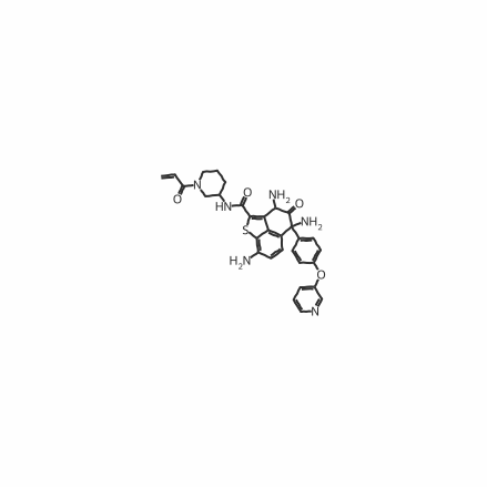 C=CC(=O)N1CCCC(NC(=O)c2sc3c(N)ccc4c3c2C(N)C(=O)C4(N)c2ccc(Oc3cccnc3)cc2)C1